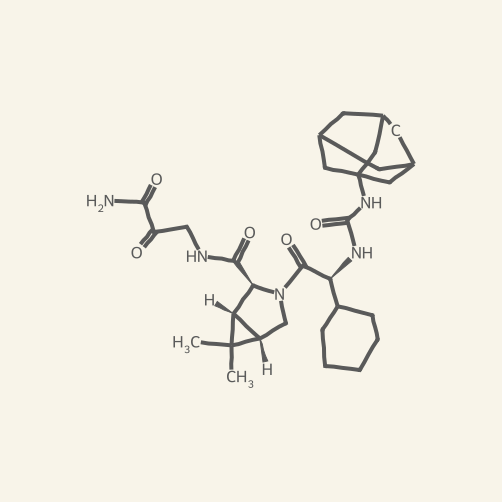 CC1(C)[C@@H]2[C@@H](C(=O)NCC(=O)C(N)=O)N(C(=O)[C@@H](NC(=O)NC34CC5CC(CC(C5)C3)C4)C3CCCCC3)C[C@@H]21